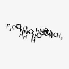 Cc1c[nH]c(/C=C2\C(=O)Nc3cc(Nc4cccc(NC(=O)Nc5cccc(C(F)(F)F)c5)c4)ccc32)n1